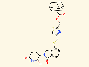 O=C1CCC(N2Cc3c(SCc4csc(COC(=O)C56CC7CC(CC(C7)C5)C6)n4)cccc3C2=O)C(=O)N1